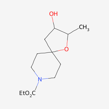 CCOC(=O)N1CCC2(CC1)CC(O)C(C)O2